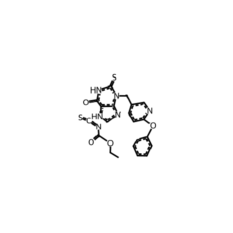 CCOC(=O)N=C=S.O=c1[nH]c(=S)n(Cc2ccc(Oc3ccccc3)nc2)c2nc[nH]c12